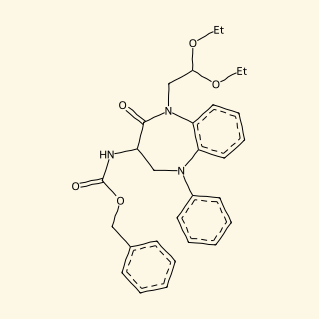 CCOC(CN1C(=O)C(NC(=O)OCc2ccccc2)CN(c2ccccc2)c2ccccc21)OCC